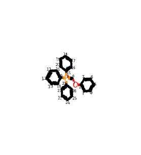 C(Oc1ccccc1)=P(c1ccccc1)(c1ccccc1)c1ccccc1